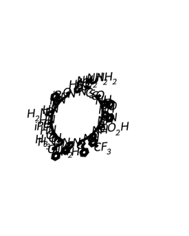 CC(C)C[C@H]1NC(=O)[C@H](C)N(C)C(=O)C(CCC(N)=O)NC(=O)[C@H](Cc2ccc(-c3ccccc3)cc2)NC(=O)[C@H](CCc2ccccc2)NC(=O)C(Cc2cccc(C(F)(F)F)c2)NC(=O)[C@H](CC(=O)O)NC(=O)C(Cc2cccnc2)NC(=O)C(CN2CCOCC2)NC(=O)CSC[C@@H](C(=O)C[C@@H](CCN)C(N)=O)NC(=O)C(CCCN)NC(=O)C(C(C)C)NC(=O)C(CC2CCCCC2)NC(=O)[C@H](CCN)NC1=O